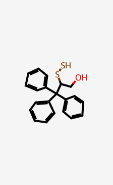 OCC(SS)C(c1ccccc1)(c1ccccc1)c1ccccc1